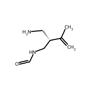 C=C(C)[C@@H](CN)CNC=O